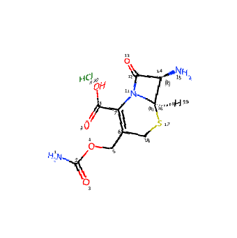 Cl.NC(=O)OCC1=C(C(=O)O)N2C(=O)[C@@H](N)[C@H]2SC1